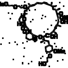 COCCOCCO[C@@H]1C[C@@H]2CC[C@@H](C)[C@@](O)(O2)C(=O)C(=O)N2CCCC[C@H]2C(=O)O[C@H]([C@H](C)C[C@@H]2CC[C@@H](OCCO)[C@H](OC)C2)CC(O)[C@H](C)/C=C(\C)[C@@H](O)[C@@H](OC)C(=O)[C@H](C)C[C@H](C)/C=C/C=C/C=C/1C